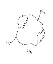 CC1CC(C)c2ccc(cc2)OP(C)Oc2ccc1cc2